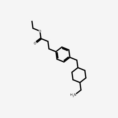 CCOC(=O)CCc1ccc(CC2CCC(CN)CC2)cc1